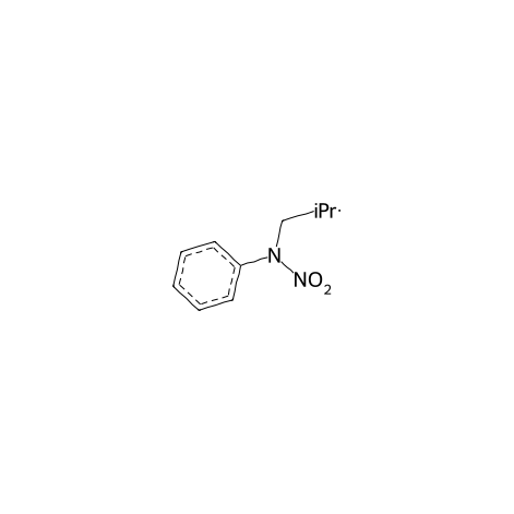 C[C](C)CN(c1ccccc1)[N+](=O)[O-]